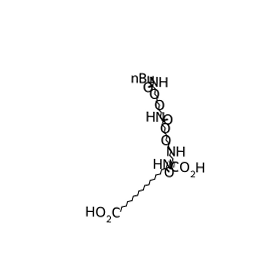 CCCCNC(=O)COCCOCCNC(=O)COCCOCCNCC[C@@H](NC(=O)CCCCCCCCCCCCCCCCC(=O)O)C(=O)O